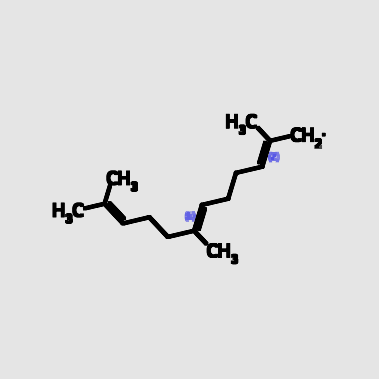 [CH2]/C(C)=C/CC/C=C(\C)CCC=C(C)C